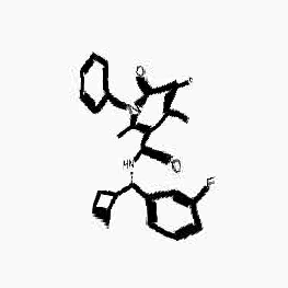 Cc1c(C(=O)N[C@H](c2cccc(F)c2)C2CCC2)c(C)n(-c2ccccc2)c(=O)c1F